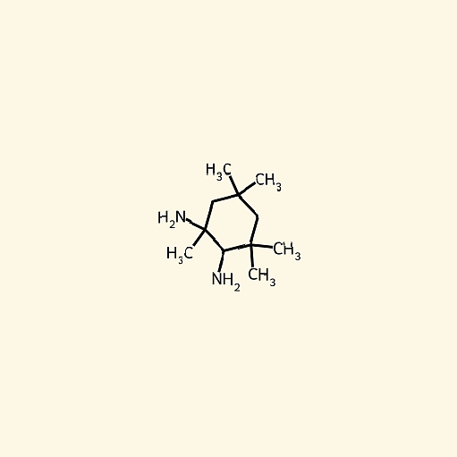 CC1(C)CC(C)(C)C(N)C(C)(N)C1